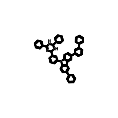 c1ccc(C2=NC(c3cccc(-n4c5ccc(-c6ccccc6)cc5c5cc(-c6cccc(-c7ccccc7)c6)ccc54)c3)NC(c3ccccc3)N2)cc1